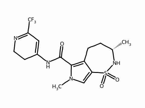 C[C@H]1CCc2c(cn(C)c2C(=O)NC2=CC(C(F)(F)F)=NCC2)S(=O)(=O)N1